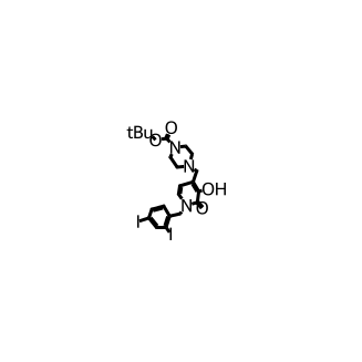 CC(C)(C)OC(=O)N1CCN(Cc2ccn(Cc3ccc(I)cc3I)c(=O)c2O)CC1